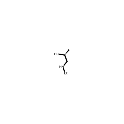 CCNC[C@H](C)O